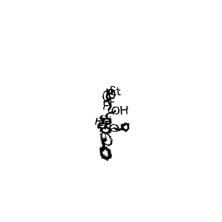 CCOC(C)OC(C)(C)C(F)(F)CC[C@@H](CO)[C@H]1CC[C@H]2[C@@H]3CC=C4C[C@@H](OCc5ccccc5)C[C@H](OCc5ccccc5)[C@]4(C)[C@H]3CC[C@]12C